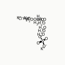 O.O.O.O.O.O.O.O.O.O.O=S(=O)([O-])[O-].[Cl-].[K+].[K+].[Na+]